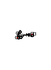 O=C(OCn1c(=O)ccc2ccc(OCCCCN3CCN(c4cccc(Cl)c4Cl)CC3)cc21)c1ccccc1